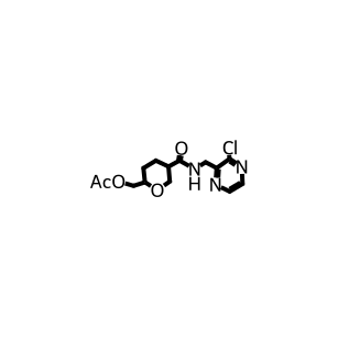 CC(=O)OCC1CCC(C(=O)NCc2nccnc2Cl)CO1